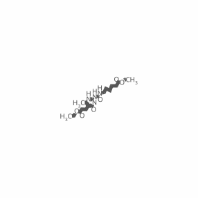 CCOC(=O)CCCCCNC(=O)Nc1nc(=O)c(CCC(=O)OCC)c(C)[nH]1